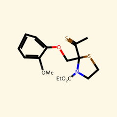 CCOC(=O)N1CCSC1(COc1ccccc1OC)C(C)=S